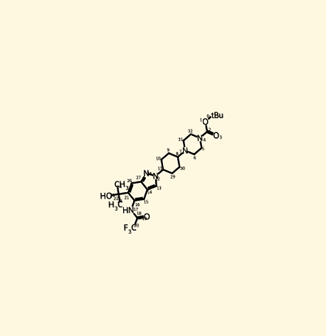 CC(C)(C)OC(=O)N1CCN(C2CCC(n3cc4cc(NC(=O)C(F)(F)F)c(C(C)(C)O)cc4n3)CC2)CC1